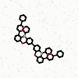 Cc1cc(-c2ccc(N(c3ccccc3)c3c(C)cccc3-c3ccc(-c4ccccc4)cc3)c(C)c2)ccc1N(c1ccccc1)c1c(C)cccc1-c1ccc(-c2ccccc2)cc1